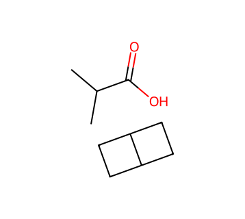 C1CC2CCC12.CC(C)C(=O)O